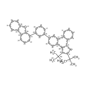 CC(C)(C)c1nc2c3ccccc3c3cc(-c4cccc(-c5cccc6c5oc5ccccc56)c4)ccc3n2c1C(C)(C)C